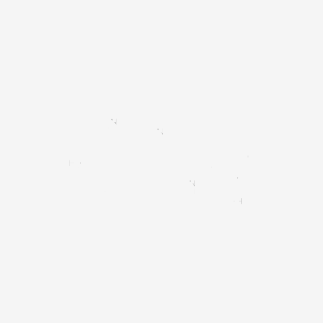 C[C@H]1OCc2c1c(N)nc1cc(C(=O)O)[nH]c21